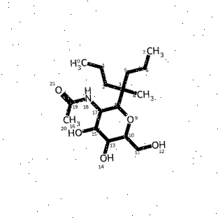 CCCC(C)(CCC)C1OC(CO)C(O)C(O)C1NC(C)=O